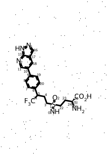 N=S(=O)(CCC(c1ccc(-c2cnc3[nH]ncc3c2)cc1)C(F)(F)F)CC[C@H](N)C(=O)O